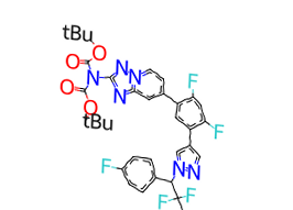 CC(C)(C)OC(=O)N(C(=O)OC(C)(C)C)c1nc2cc(-c3cc(-c4cnn(C(c5ccc(F)cc5)C(C)(F)F)c4)c(F)cc3F)ccn2n1